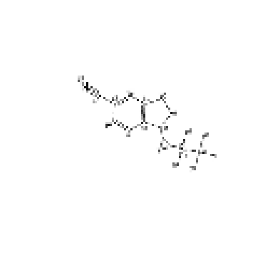 CC(C)(C)[Si](C)(C)OC1CCc2cc(C#N)ccc21